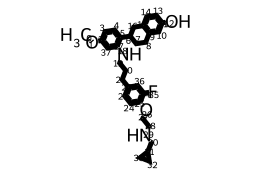 COc1ccc(C2CCc3cc(O)ccc3C2)c(NCCCc2ccc(OCCNCC3CC3)c(F)c2)c1